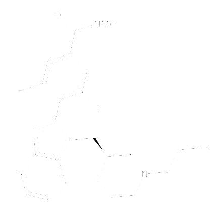 CNC(=O)c1cc(F)c(-c2oc3nc(C)ccc3c2C[C@H]2CN(C(=O)OC(C)(C)C)CCO2)c(F)c1